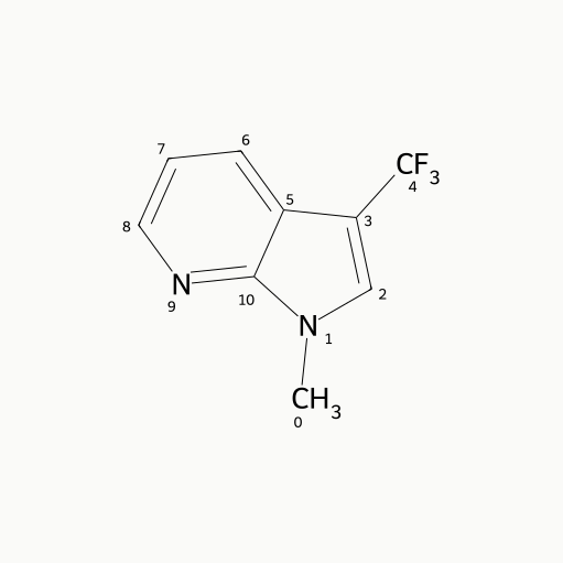 Cn1cc(C(F)(F)F)c2cccnc21